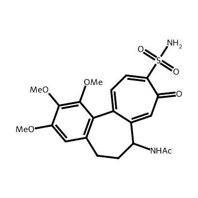 COc1cc2c(c(OC)c1OC)-c1ccc(S(N)(=O)=O)c(=O)cc1C(NC(C)=O)CC2